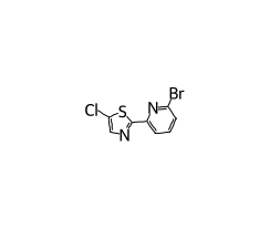 Clc1cnc(-c2cccc(Br)n2)s1